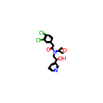 O=C(Cc1ccc(Cl)c(Cl)c1)N(CC(O)c1cccnc1)C1COC1